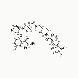 C=C(F)C(=O)N1C[C@H]2C[C@@H]1CN2S(=O)(=O)N1CCC(CN2CCC3(CC2)CN(c2ncncc2Oc2ccc(F)cc2C(=O)N(C(C)C)C(C)C)C3)CC1